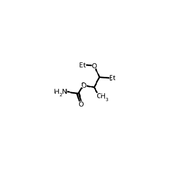 CCOC(CC)C(C)OC(N)=O